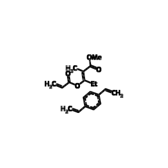 C=CC(=O)OC(CC)=C(C)C(=O)OC.C=Cc1ccc(C=C)cc1